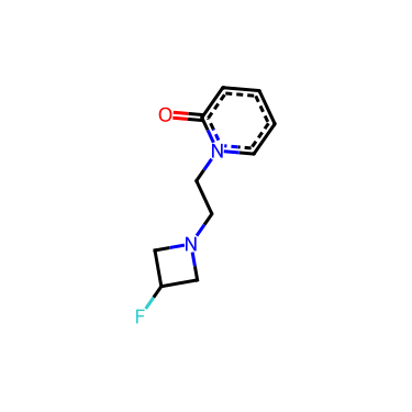 O=c1ccccn1CCN1CC(F)C1